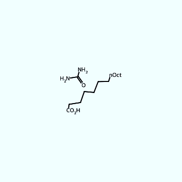 CCCCCCCCCCCCCCC(=O)O.NC(N)=O